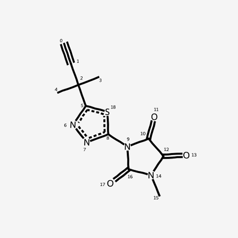 C#CC(C)(C)c1nnc(N2C(=O)C(=O)N(C)C2=O)s1